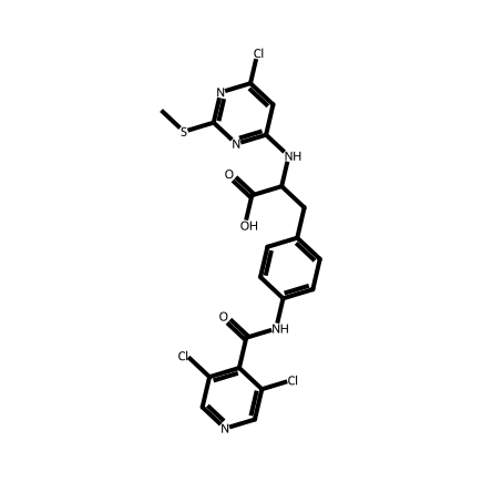 CSc1nc(Cl)cc(NC(Cc2ccc(NC(=O)c3c(Cl)cncc3Cl)cc2)C(=O)O)n1